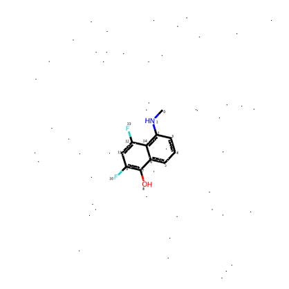 CNc1cccc2c(O)c(F)cc(F)c12